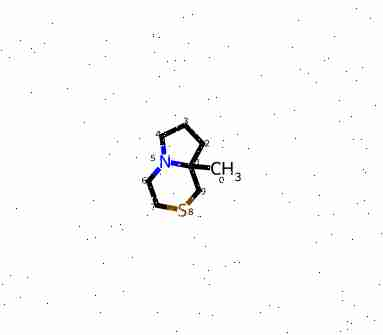 CC12CCCN1CCSC2